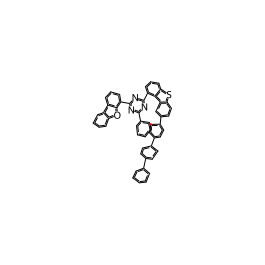 c1ccc(-c2ccc(-c3ccc(-c4ccc5sc6cccc(-c7nc(-c8ccccc8)nc(-c8cccc9c8oc8ccccc89)n7)c6c5c4)cc3)cc2)cc1